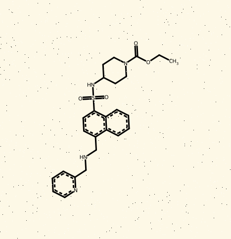 CCOC(=O)N1CCC(NS(=O)(=O)c2ccc(CNCc3ccccn3)c3ccccc23)CC1